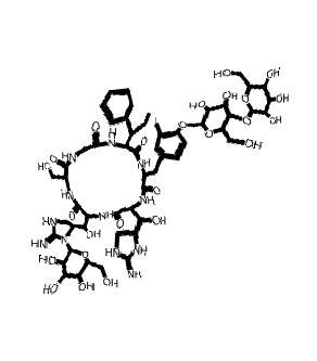 CCC(c1ccccc1)C1NC(=O)CNC(=O)C(CO)NC(=O)C(C(O)C2CNC(=N)N2C2OC(CO)C(O)C(O)C2O)NC(=O)C(C(O)C2CNC(=N)N2)NC(=O)C(Cc2ccc(OC3OC(CO)C(OC4OC(CO)C(O)C(O)C4O)C(O)C3O)c(I)c2)NC1=O